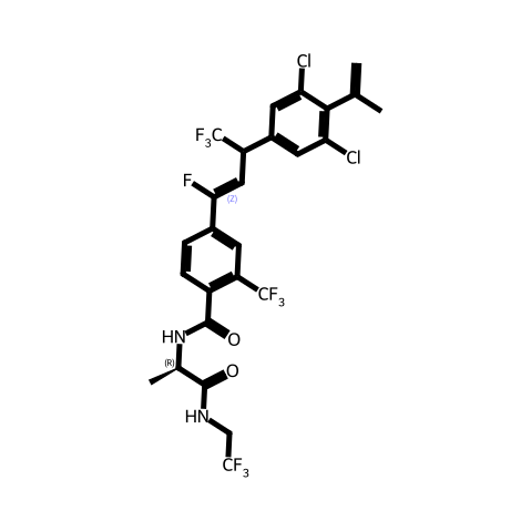 C=C(C)c1c(Cl)cc(C(/C=C(\F)c2ccc(C(=O)N[C@H](C)C(=O)NCC(F)(F)F)c(C(F)(F)F)c2)C(F)(F)F)cc1Cl